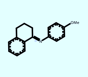 COc1ccc(/N=C2\CCCc3ccccc32)cc1